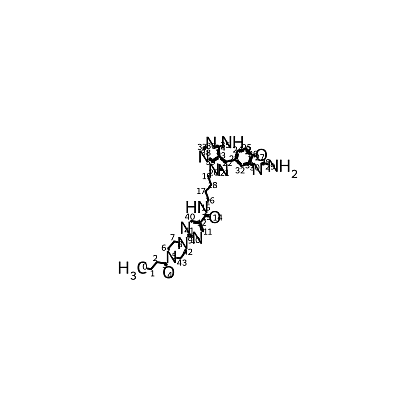 CCCC(=O)N1CCN(c2ncc(C(=O)NCCCCn3nc(-c4ccc5oc(N)nc5c4)c4c(N)ncnc43)cn2)CC1